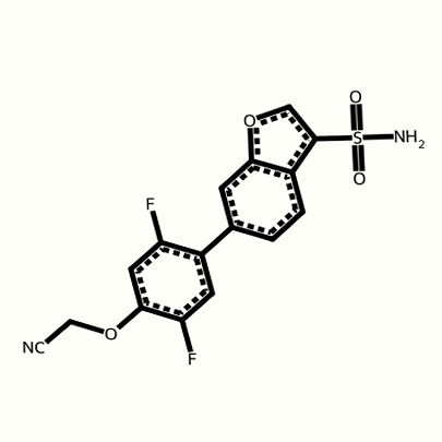 N#CCOc1cc(F)c(-c2ccc3c(S(N)(=O)=O)coc3c2)cc1F